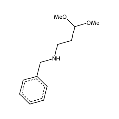 COC(CCNCc1ccccc1)OC